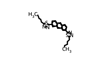 CCCCCc1nnc(-c2ccc3cc4ccc(-c5nnc(CCCCC)s5)cc4cc3c2)s1